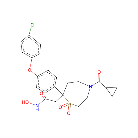 O=C(CC1(c2ccc(Oc3ccc(Cl)cc3)cc2)CCN(C(=O)C2CC2)CCS1(=O)=O)NO